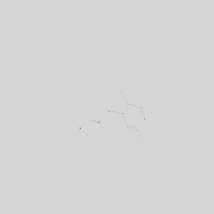 CCc1ccc(Br)cc1NC(=O)OC(C)(C)C